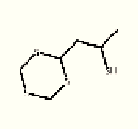 CC(S)CC1SCSCS1